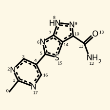 Cc1ncc(-c2nc3[nH]nc(C(N)=O)c3s2)cn1